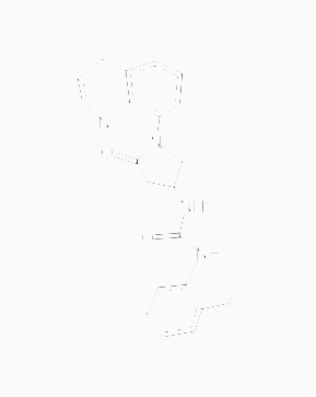 O=C(Nc1ccccc1F)NC1CC(=O)N(c2cccc3cccnc23)C1